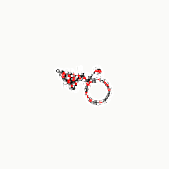 CC[C@H](C)[C@@H]([C@@H](CC(=O)N1CCC[C@H]1[C@H](OC)[C@@H](C)C(=O)N[C@H](C)[C@@H](O)c1ccccc1)OC)N(C)C(=O)[C@@H](NC(=O)[C@H](C(C)C)N(C)C(=O)OCc1ccc(NC(=O)[C@H](CCCNC(N)=O)NC(=O)[C@@H](NC(=O)CC[C@H](NC(=O)CCCCCCC(=O)ON2C(=O)C=CC2=O)C(=O)N2CCOCCOCCOCCOCCOCCOCCOCCOCCOCCOCCOCCOCCOCC2)C(C)C)cc1)C(C)C